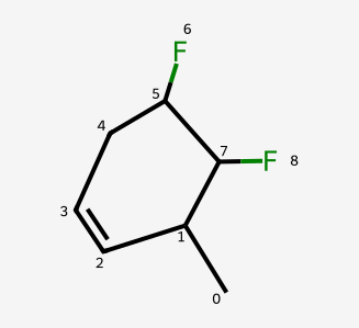 CC1C=CCC(F)C1F